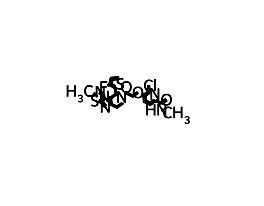 CNC(=O)c1ccc(OCC(=O)N2CCc3nc4sc(C)nn4c3C2c2sccc2F)c(Cl)n1